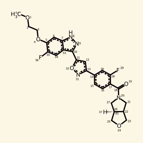 COCCOc1cc2[nH]nc(-c3cc(-c4ccc(C(=O)N5CC6COC[C@H]6C5)c(F)c4)no3)c2cc1F